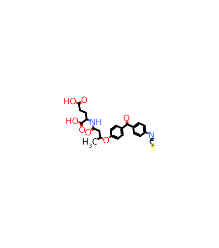 CC(CC(=O)NC(CCC(=O)O)C(=O)O)Oc1ccc(C(=O)c2ccc(N=C=S)cc2)cc1